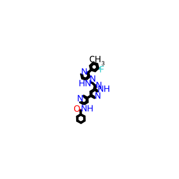 Cc1cc(F)cc(-c2nccc3[nH]c(-c4n[nH]c5ncc(-c6cncc(NC(=O)C7CCCCC7)c6)cc45)nc23)c1